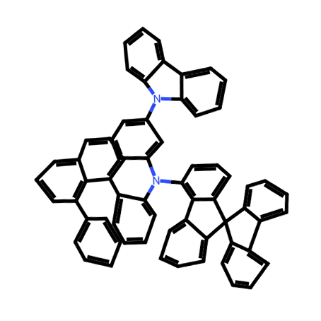 c1ccc(-c2cccc3cccc(-c4ccccc4N(c4cccc(-n5c6ccccc6c6ccccc65)c4)c4cccc5c4-c4ccccc4C54c5ccccc5-c5ccccc54)c23)cc1